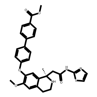 COC(=O)c1ccc(-c2ccc(Oc3cc4c(cc3OC)CCN[C@]4(C)CC(=O)Nc3nccs3)cc2)cc1